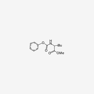 CCC(C)C(NC(=O)Oc1ccccc1)C(=O)OC